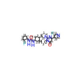 Cn1c(N2CCC[C@@H](c3ccc(NC(=O)Nc4ccccc4F)cc3)C2)nc(-c2ccncc2F)cc1=O